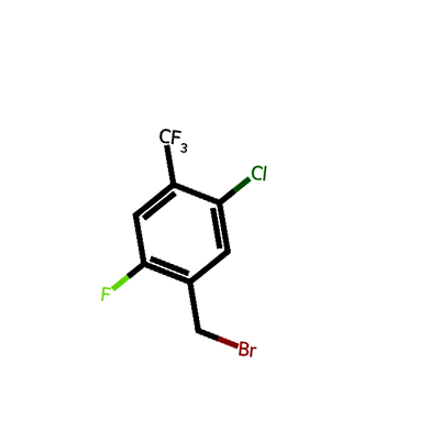 Fc1cc(C(F)(F)F)c(Cl)cc1CBr